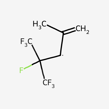 C=C(C)[CH]C(F)(C(F)(F)F)C(F)(F)F